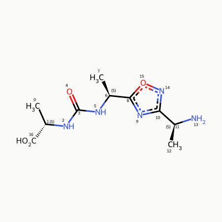 C[C@H](NC(=O)N[C@@H](C)c1nc([C@H](C)N)no1)C(=O)O